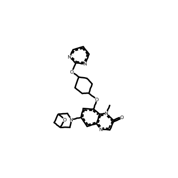 Cn1c(=O)cnc2cc(N3CC4CC(C3)O4)cc(OC3CCC(Oc4ncccn4)CC3)c21